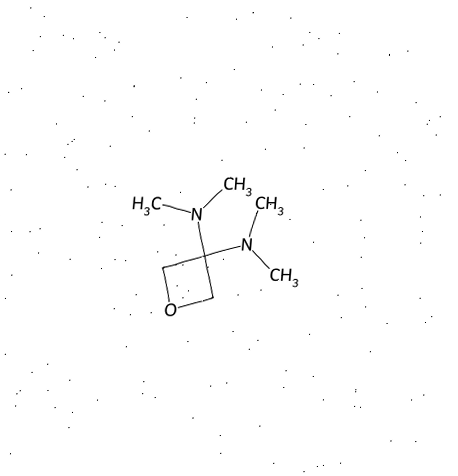 CN(C)C1(N(C)C)COC1